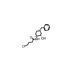 O=C(CCCCl)N[C@H]1CCN(Cc2ccccc2)C[C@@H]1O